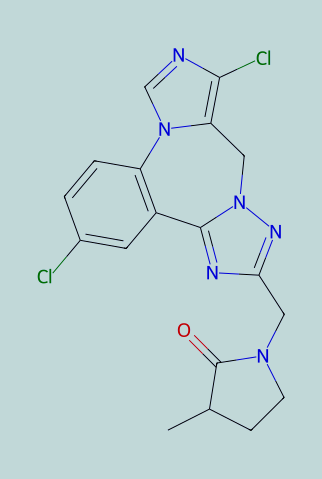 CC1CCN(Cc2nc3n(n2)Cc2c(Cl)ncn2-c2ccc(Cl)cc2-3)C1=O